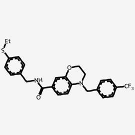 CCSc1ccc(CNC(=O)c2ccc3c(c2)OCCN3Cc2ccc(C(F)(F)F)cc2)cc1